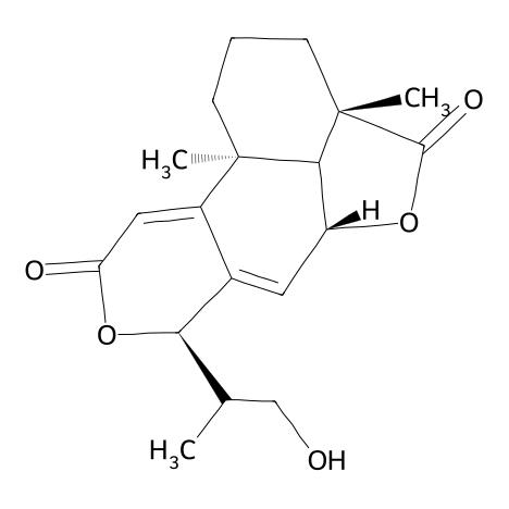 CC(CO)[C@H]1OC(=O)C=C2C1=C[C@H]1OC(=O)[C@@]3(C)CCC[C@@]2(C)C13